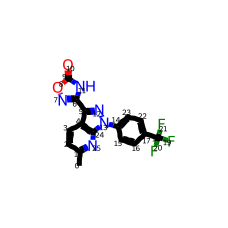 Cc1ccc2c(-c3noc(=O)[nH]3)nn(-c3ccc(C(F)(F)F)cc3)c2n1